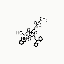 C#CCN1CC(=O)N2[C@@H](CCCNC(=O)OCC=C)C(=O)N(CCC(c3ccccc3)c3ccccc3)C[C@@H]2N1C(=O)NCc1ccccc1